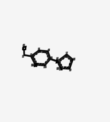 ClCc1ccc(-n2cccn2)cn1